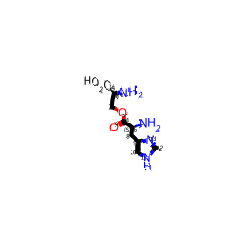 N[C@@H](COC(=O)[C@@H](N)Cc1c[nH]cn1)C(=O)O